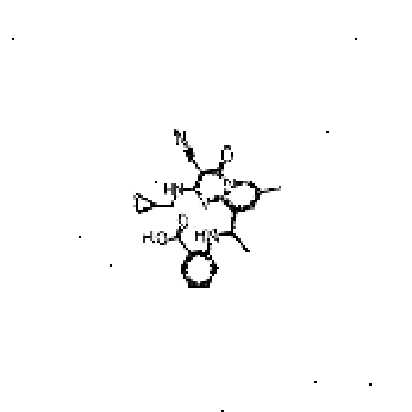 Cc1cc(C(C)Nc2ccccc2C(=O)O)c2nc(NCC3CC3)c(C#N)c(=O)n2c1